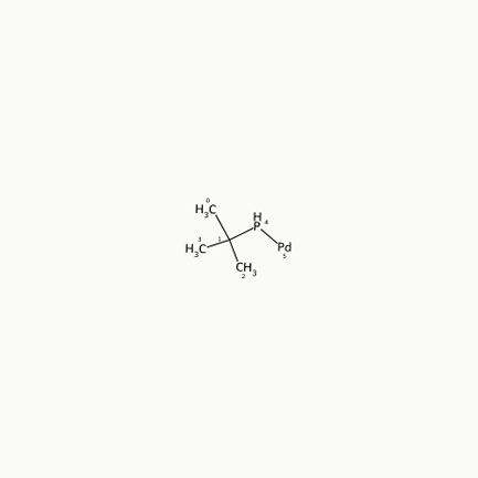 CC(C)(C)[PH][Pd]